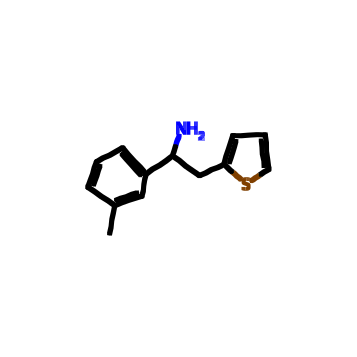 Cc1cccc(C(N)Cc2cccs2)c1